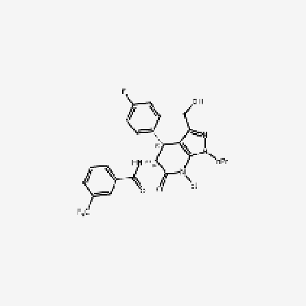 CCCn1nc(CO)c2c1N(CC)C(=O)[C@H](NC(=O)c1cccc(C(F)(F)F)c1)[C@@H]2c1ccc(F)cc1